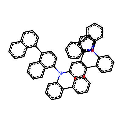 c1ccc(-c2cc(N(c3ccccc3-c3ccccc3)c3ccc(-c4cccc5ccccc45)c4ccccc34)ccc2-c2ccccc2-n2c3ccccc3c3ccccc32)cc1